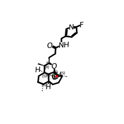 C[C@H]1[C@@H](CCC(=O)NCc2ccc(F)nc2)O[C@@H]2O[C@]3(C)CC[C@H]4[C@H](C)CC[C@@H]1[C@@]24OO3